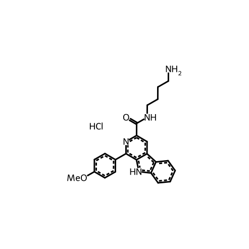 COc1ccc(-c2nc(C(=O)NCCCCN)cc3c2[nH]c2ccccc23)cc1.Cl